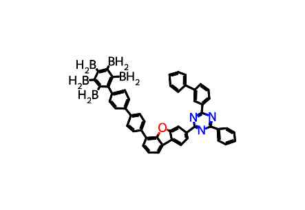 Bc1c(B)c(B)c(-c2ccc(-c3ccc(-c4cccc5c4oc4cc(-c6nc(-c7ccccc7)nc(-c7cccc(-c8ccccc8)c7)n6)ccc45)cc3)cc2)c(B)c1B